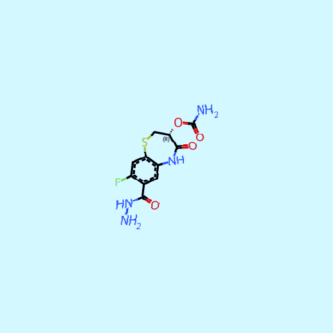 NNC(=O)c1cc2c(cc1F)SC[C@H](OC(N)=O)C(=O)N2